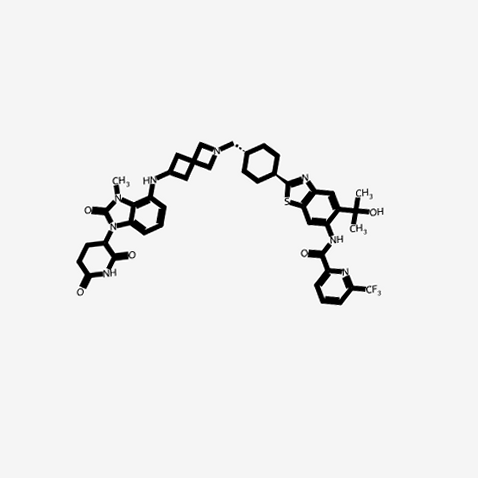 Cn1c(=O)n(C2CCC(=O)NC2=O)c2cccc(NC3CC4(C3)CN(C[C@H]3CC[C@H](c5nc6cc(C(C)(C)O)c(NC(=O)c7cccc(C(F)(F)F)n7)cc6s5)CC3)C4)c21